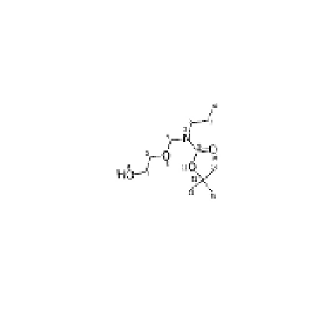 CCCN(COCCO)C(=O)OC(C)(C)C